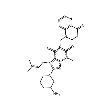 CC(C)=CCn1c(N2CCCC(N)C2)nc2c1c(=O)n(CN1CCC(=O)c3ncccc31)c(=O)n2C